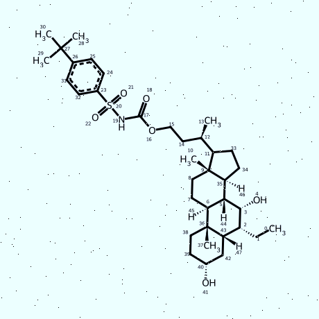 CC[C@H]1[C@@H](O)[C@@H]2[C@H](CC[C@]3(C)C([C@H](C)CCOC(=O)NS(=O)(=O)c4ccc(C(C)(C)C)cc4)CC[C@@H]23)[C@@]2(C)CC[C@@H](O)C[C@@H]12